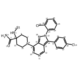 CCNC1(C(N)=O)CCN(c2nncc3c(-c4ccc(Cl)cc4)n(-c4ccccc4Cl)nc23)CC1